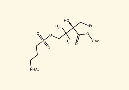 CC(=O)NCCCS(=O)(=O)OCC(C)(C)[C@](O)(CC(C)C)C(=O)OOC(C)=O